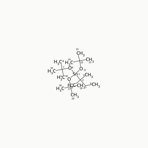 CC[C](C)(C)[Sn]([O]C(C)(C)C)([O]C(C)(C)C)[O]C(C)(C)C